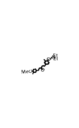 CCN(CC)CCOc1ccc(/C=C/C(=O)/C=C/c2ccc(OC)c(C)c2)cc1C